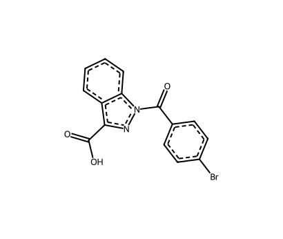 O=C(O)c1nn(C(=O)c2ccc(Br)cc2)c2ccccc12